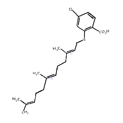 CC(C)=CCC/C(C)=C/CC/C(C)=C/CSc1cc(Cl)ccc1C(=O)O